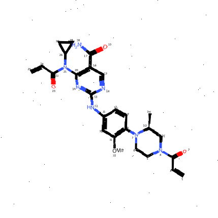 C=CC(=O)N1CCN(c2ccc(Nc3ncc(C(N)=O)c(N(C(=O)C=C)C4CC4)n3)cc2OC)[C@@H](C)C1